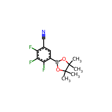 CC1(C)OB(c2cc(C#N)c(F)c(F)c2F)OC1(C)C